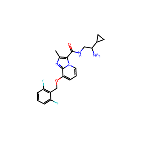 Cc1nc2c(OCc3c(F)cccc3F)cccn2c1C(=O)NCC(N)C1CC1